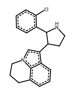 Clc1ccccc1C1NCCC1c1cn2c3c(cccc13)CCC2